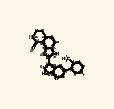 Cc1ccncc1-c1cnc2[nH]nc(-c3nc4c5c(ccc4[nH]3)CCNC5=O)c2c1